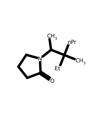 CCCC(C)(CC)C(C)N1CCCC1=O